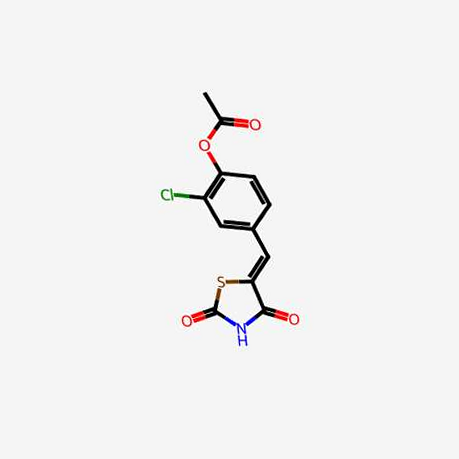 CC(=O)Oc1ccc(/C=C2\SC(=O)NC2=O)cc1Cl